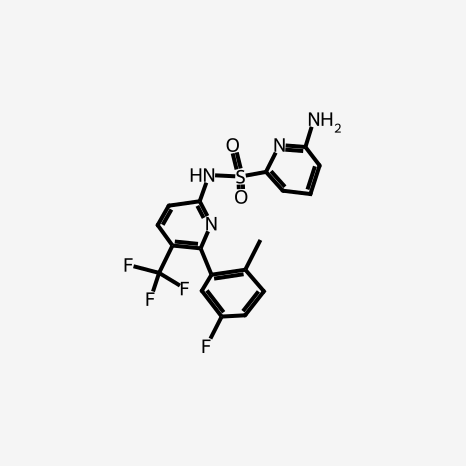 Cc1ccc(F)cc1-c1nc(NS(=O)(=O)c2cccc(N)n2)ccc1C(F)(F)F